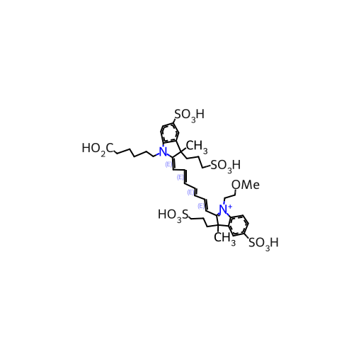 COCC[N+]1=C(/C=C/C=C/C=C/C=C2/N(CCCCCC(=O)O)c3ccc(S(=O)(=O)O)cc3C2(C)CCCS(=O)(=O)O)C(C)(CCCS(=O)(=O)O)c2cc(S(=O)(=O)O)ccc21